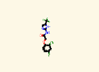 O=C(COc1ccc(F)cc1Cl)Nc1ncc(C(F)(F)F)[nH]1